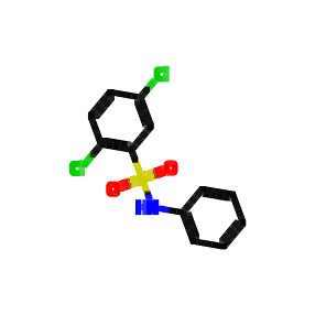 O=S(=O)(Nc1ccccc1)c1cc(Cl)ccc1Cl